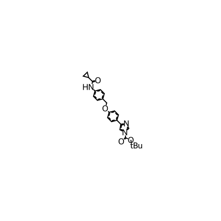 CC(C)(C)OC(=O)n1cnc(-c2ccc(OCc3ccc(NC(=O)C4CC4)cc3)cc2)c1